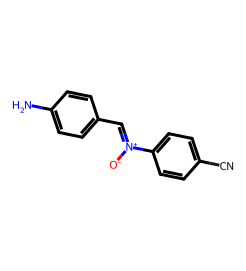 N#Cc1ccc([N+]([O-])=Cc2ccc(N)cc2)cc1